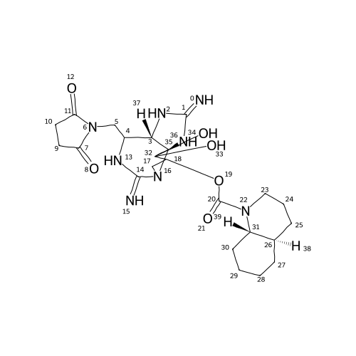 N=C1N[C@H]2C(CN3C(=O)CCC3=O)NC(=N)N3CC(OC(=O)N4CCC[C@H]5CCCC[C@@H]54)C(O)(O)[C@]23N1